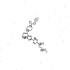 NCCNc1ccc(-c2cc3c(N4CCN(C(=O)OC5COC5)CC4)ccnn3c2)nc1